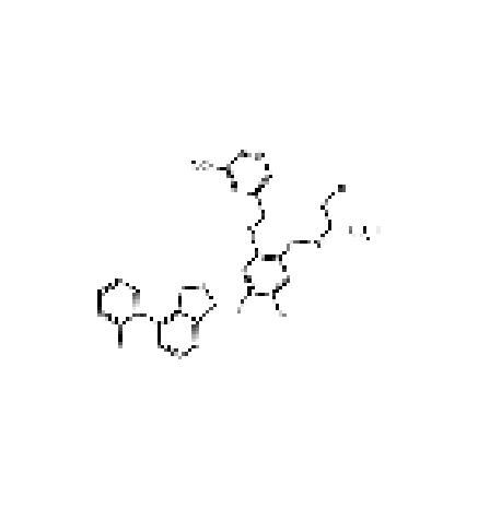 N#Cc1cncc(COc2cc(O[C@H]3CCc4c(-c5ccccc5F)cccc43)c(Cl)cc2CN[C@H](CO)C(=O)O)c1